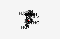 Cc1ccccc1NC(C)N(C)C(=O)[C@H](CN)NC(=O)[C@H](CCCN)NCc1cccnc1Sc1c(Cl)cc(-c2ccc(O)nc2)cc1CNC=O